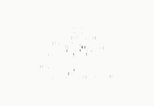 CN(C)[C@@H]1C(O)=C(C(N)=O)C(=O)[C@@]2(O)C(O)=C3C(=O)c4c(O)cccc4[C@@](C)(O)[C@H]3[C@H](O)[C@@H]12.O.O.O=S(=O)(O)O